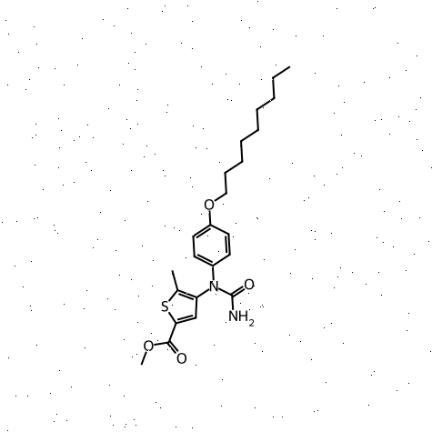 CCCCCCCCCOc1ccc(N(C(N)=O)c2cc(C(=O)OC)sc2C)cc1